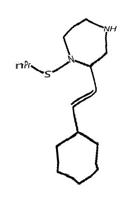 CCCSN1CCNCC1/C=C/C1CCCCC1